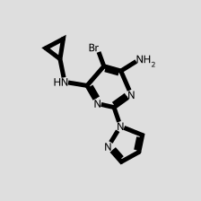 Nc1nc(-n2cccn2)nc(NC2CC2)c1Br